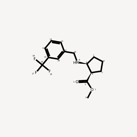 COC(=O)[C@@H]1CCC[C@@H]1NCc1cccc(C(F)(F)F)c1